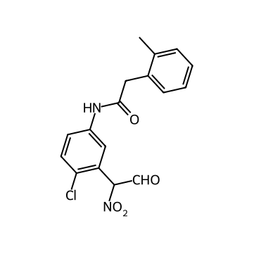 Cc1ccccc1CC(=O)Nc1ccc(Cl)c(C(C=O)[N+](=O)[O-])c1